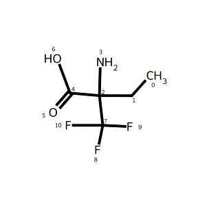 CCC(N)(C(=O)O)C(F)(F)F